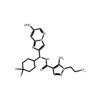 Cc1c(C(=O)N[C@H](c2cn3ncc(C=O)cc3n2)C2CCC(F)(F)CC2)cnn1CCC(F)(F)F